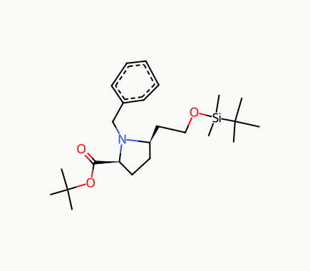 CC(C)(C)OC(=O)[C@@H]1CC[C@H](CCO[Si](C)(C)C(C)(C)C)N1Cc1ccccc1